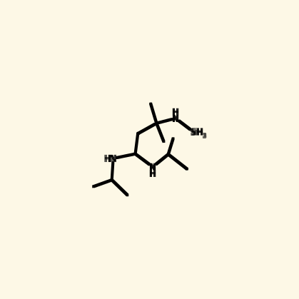 CC(C)NC(CC(C)(C)N[SiH3])NC(C)C